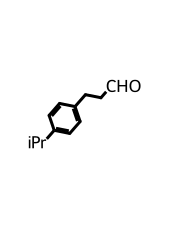 CC(C)c1ccc(CCC=O)cc1